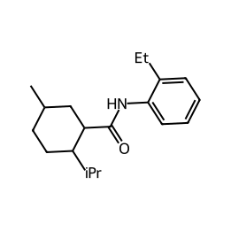 CCc1ccccc1NC(=O)C1CC(C)CCC1C(C)C